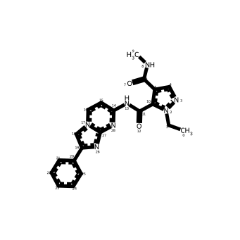 CCn1ncc(C(=O)NC)c1C(=O)Nc1ccn2cc(-c3ccccc3)nc2n1